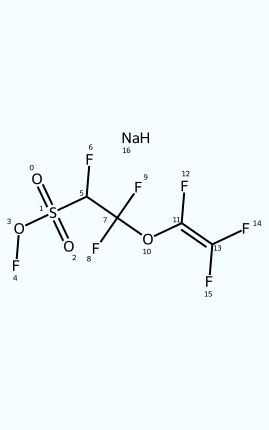 O=S(=O)(OF)C(F)C(F)(F)OC(F)=C(F)F.[NaH]